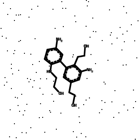 Nc1ccc(NCCO)c(-c2cc(CCO)cc(N)c2CCO)c1